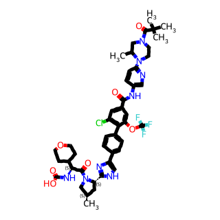 CC1CN(C(=O)C(C)(C)C)CCN1c1ccc(NC(=O)c2cc(Cl)c(-c3ccc(-c4c[nH]c([C@@H]5C[C@H](C)CN5C(=O)[C@@H](NC(=O)O)C5CCOCC5)n4)cc3)c(OC(F)(F)F)c2)cn1